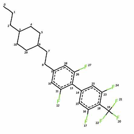 CCCC1CCC(CCc2cc(F)c(-c3cc(F)c(C(F)(F)F)c(F)c3)c(F)c2)CC1